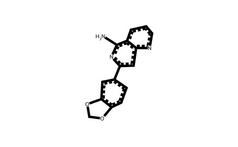 Nc1nc(-c2ccc3c(c2)OCO3)cc2ncccc12